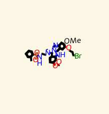 COc1cc2ncnc(Nc3c(CN(C)CCNS(=O)(=O)c4ccccc4C)ccc4c3OCO4)c2cc1OCCCBr